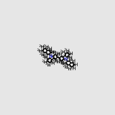 [2H]c1c([2H])c([2H])c2c([2H])c(-n3c4c([2H])c([2H])c([2H])c([2H])c4c4c([2H])c(-c5c([2H])c([2H])c6c(c5[2H])c5c([2H])c([2H])c([2H])c([2H])c5n6-c5c([2H])c([2H])c6c([2H])c([2H])c([2H])c([2H])c6c5[2H])c([2H])c([2H])c43)c([2H])c([2H])c2c1[2H]